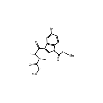 CC(C(=O)c1cn(C(=O)OC(C)(C)C)c2ccc(Br)cc12)N(C)C(=O)OC(C)(C)C